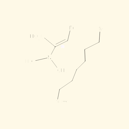 CC/C=C(\C(=O)O)N(C)C.CCCCCCCCCCCCCCCCBr